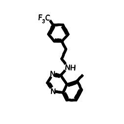 Cc1cccc2ncnc(NCCc3ccc(C(F)(F)F)cc3)c12